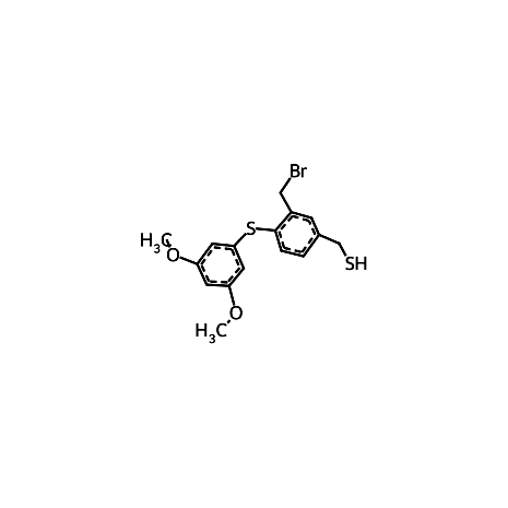 COc1cc(OC)cc(Sc2ccc(CS)cc2CBr)c1